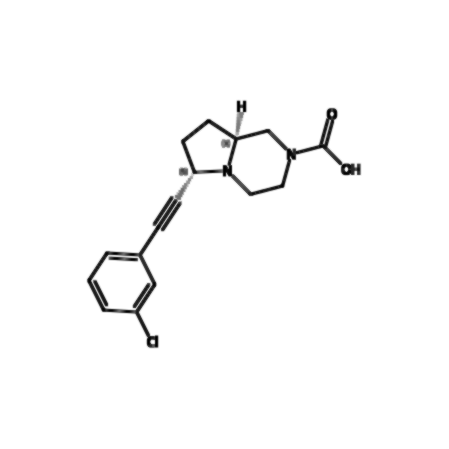 O=C(O)N1CCN2[C@@H](CC[C@H]2C#Cc2cccc(Cl)c2)C1